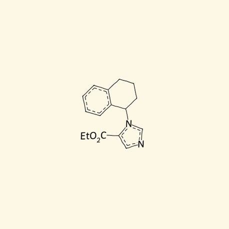 CCOC(=O)c1cncn1C1CCCc2ccccc21